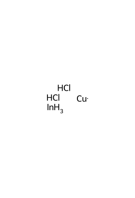 Cl.Cl.[Cu].[InH3]